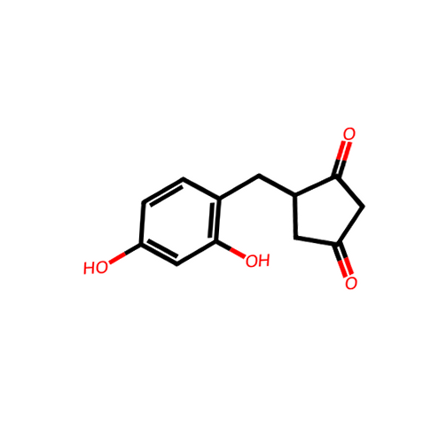 O=C1CC(=O)C(Cc2ccc(O)cc2O)C1